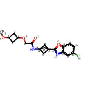 O=C(COC1CC(OC(F)(F)F)C1)NC12CC(c3nc4cc(Cl)ccc4o3)(C1)C2